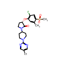 CCc1cnc(N2CCC(N3CC[C@H](Oc4cc(C)c(S(C)(=O)=O)cc4F)C3=O)CC2)nc1